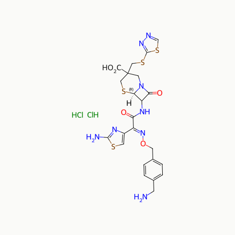 Cl.Cl.NCc1ccc(CON=C(C(=O)NC2C(=O)N3CC(CSc4nncs4)(C(=O)O)CS[C@H]23)c2csc(N)n2)cc1